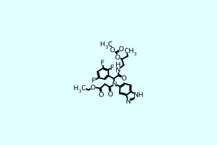 CCOC(=O)CC(=O)N(c1ccc2[nH]cnc2c1)C(C(=O)NCC(CC)OC(=O)OC)c1cc(F)cc(F)c1F